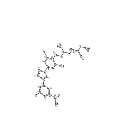 CCc1cc(-c2nc(-c3cc(C)nc(N(C)CC)c3)no2)cc(C)c1OCC(O)CNC(=O)CO